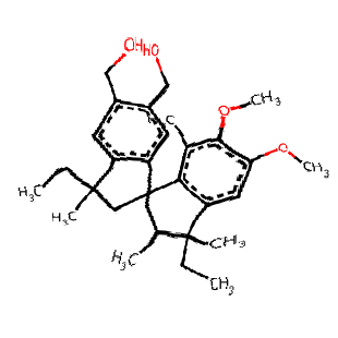 CCC1(C)CC2(c3cc(CO)c(CO)cc31)c1c(cc(OC)c(OC)c1C)C(C)(CC)C2C